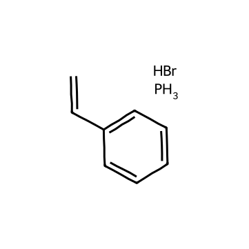 Br.C=Cc1ccccc1.P